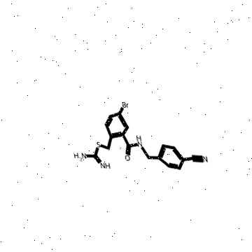 N#Cc1ccc(CNC(=O)c2cc(Br)ccc2CSC(=N)N)cc1